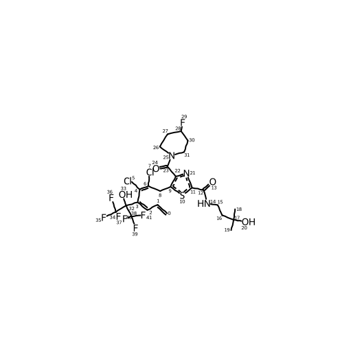 C=C/C=C(\C(Cl)=C(\Cl)Cc1sc(C(=O)NCCC(C)(C)O)nc1C(=O)N1CCC(F)CC1)C(O)(C(F)(F)F)C(F)(F)F